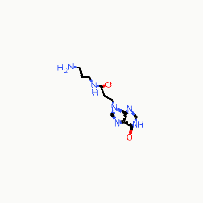 NCCCNC(=O)CCn1cnc2c(=O)[nH]cnc21